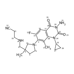 Cc1c(N2CCC(C)(CNCCC#N)C2)c(F)cc2c(=O)n(N)c(=O)n(C3CC3)c12